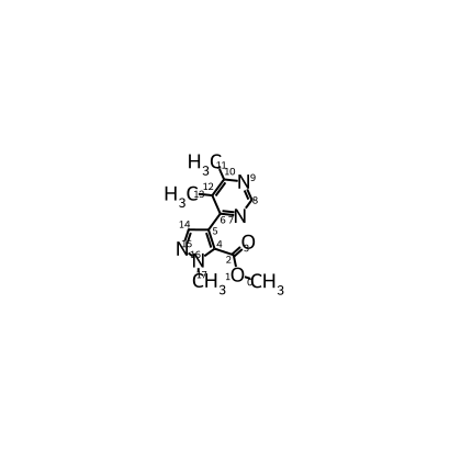 COC(=O)c1c(-c2ncnc(C)c2C)cnn1C